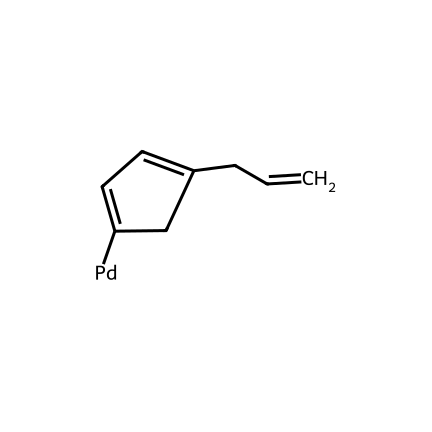 C=CCC1=CC=[C]([Pd])C1